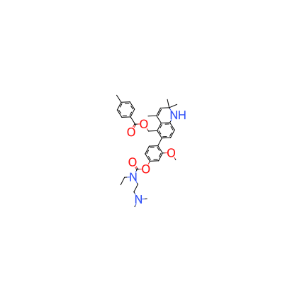 CCN(CCN(C)C)C(=O)Oc1ccc(-c2ccc3c(c2COC(=O)c2ccc(C)cc2)C(C)=CC(C)(C)N3)c(OC)c1